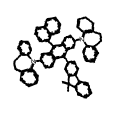 CC1(C)c2ccccc2-c2ccc(-c3c4cc(N5C6=C(CCC=C6)CCc6ccccc65)ccc4c(-c4cccc5ccccc45)c4cc(N5c6ccccc6CCc6ccccc65)ccc34)cc21